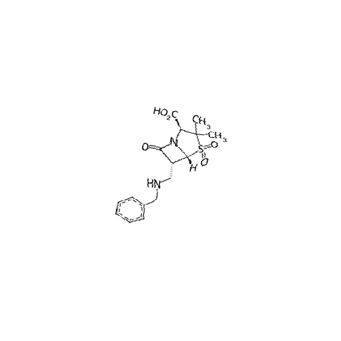 CC1(C)[C@H](C(=O)O)N2C(=O)[C@@H](CNCc3ccccc3)[C@H]2S1(=O)=O